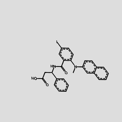 CN(c1ccc2ccccc2c1)c1ccc(I)cc1C(=O)NC(CC(=O)O)c1ccccc1